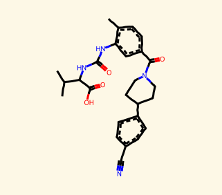 Cc1ccc(C(=O)N2CCC(c3ccc(C#N)cc3)CC2)cc1NC(=O)NC(C(=O)O)C(C)C